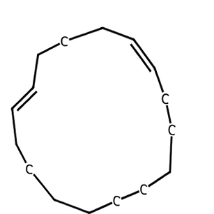 C1=C\CCCCCCCCC/C=C/CCC/1